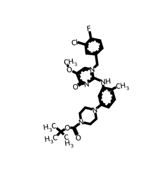 COc1cn(Cc2ccc(F)c(Cl)c2)c(Nc2cc(N3CCN(C(=O)OC(C)(C)C)CC3)ccc2C)nc1=O